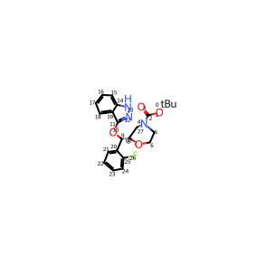 CC(C)(C)OC(=O)N1CCO[C@H](C(Oc2n[nH]c3ccccc23)c2ccccc2F)C1